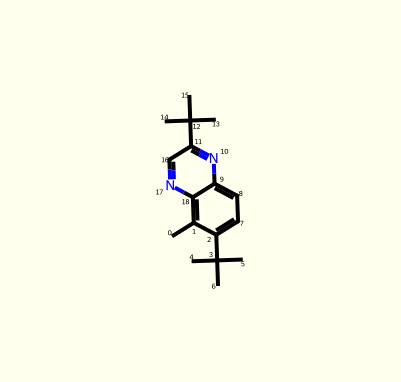 Cc1c(C(C)(C)C)ccc2nc(C(C)(C)C)cnc12